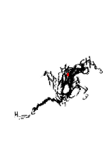 CCCCCCCCCCCC(=O)O[C@@]12CC(C)C34C=C(C)[C@H](O)[C@@]3(O)[C@H](O)C(COC(=O)C(C)(C)C)=C[C@H](C4=O)[C@@H]1C2(C)C